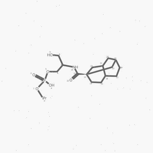 CC(C)OP(=O)(O)OCC(CO)NC(=O)[C@@]12CCC3CCC(CC3C1)C2